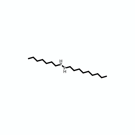 CCCCCCCCCPPCCCCCCC